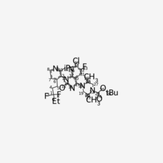 CCC(F)(F)CCc1ccnc(C(C)C)c1-n1c(=O)nc(N2C[C@@H](C)N(C(=O)OC(C)(C)C)C[C@@H]2C)c2cc(F)c(Cl)nc21